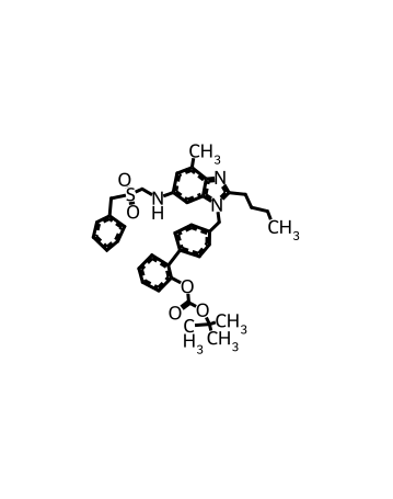 CCCCc1nc2c(C)cc(NCS(=O)(=O)Cc3ccccc3)cc2n1Cc1ccc(-c2ccccc2OC(=O)OC(C)(C)C)cc1